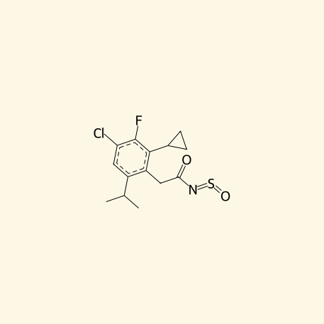 CC(C)c1cc(Cl)c(F)c(C2CC2)c1CC(=O)N=S=O